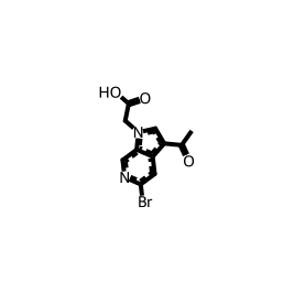 CC(=O)c1cn(CC(=O)O)c2cnc(Br)cc12